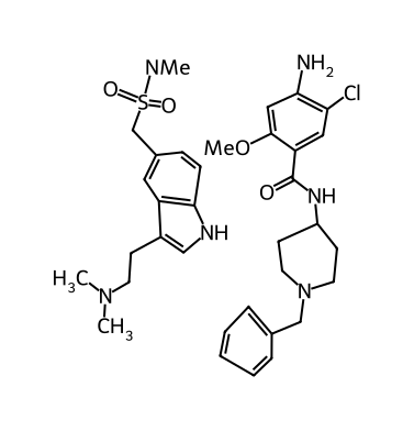 CNS(=O)(=O)Cc1ccc2[nH]cc(CCN(C)C)c2c1.COc1cc(N)c(Cl)cc1C(=O)NC1CCN(Cc2ccccc2)CC1